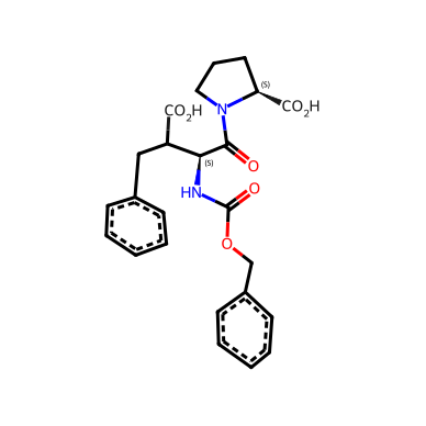 O=C(N[C@H](C(=O)N1CCC[C@H]1C(=O)O)C(Cc1ccccc1)C(=O)O)OCc1ccccc1